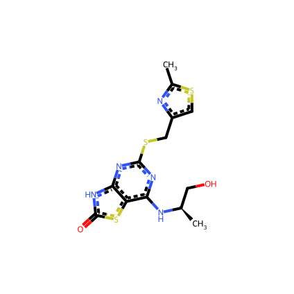 Cc1nc(CSc2nc(N[C@H](C)CO)c3sc(=O)[nH]c3n2)cs1